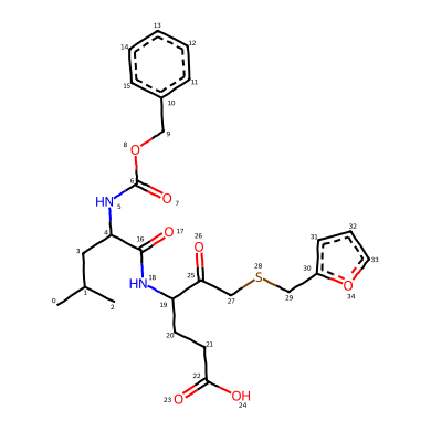 CC(C)CC(NC(=O)OCc1ccccc1)C(=O)NC(CCC(=O)O)C(=O)CSCc1ccco1